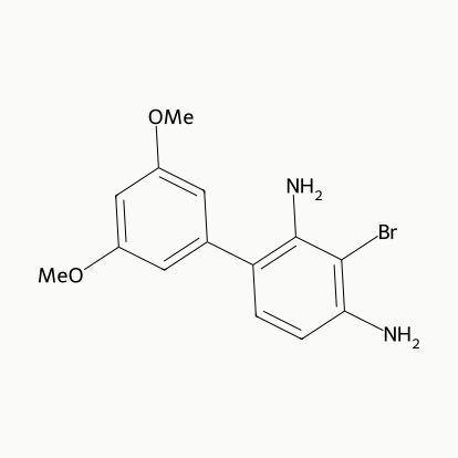 COc1cc(OC)cc(-c2ccc(N)c(Br)c2N)c1